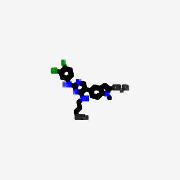 CCOC(=O)c1cc2cc(-c3cnc(Nc4ccc(F)c(Cl)c4)nc3NCCCOC)ccc2n1C